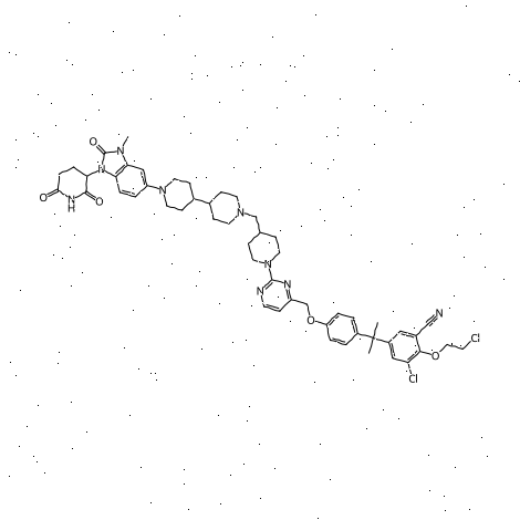 Cn1c(=O)n(C2CCC(=O)NC2=O)c2ccc(N3CCC(C4CCN(CC5CCN(c6nccc(COc7ccc(C(C)(C)c8cc(Cl)c(OCCCl)c(C#N)c8)cc7)n6)CC5)CC4)CC3)cc21